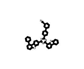 N#Cc1cccc(-c2ccc(-c3nc(-c4ccc5c(c4)oc4cccc(-c6ccccc6)c45)nc(-c4cccc5c4sc4ccccc45)n3)cc2)c1